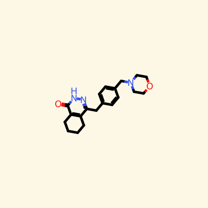 O=c1[nH]nc(Cc2ccc(CN3CCOCC3)cc2)c2c1CCCC2